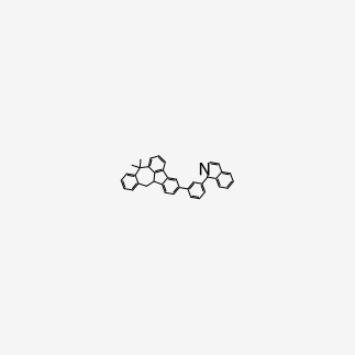 CC1(C)c2ccccc2CC2c3ccc(-c4cccc(-c5nccc6ccccc56)c4)cc3-c3cccc1c32